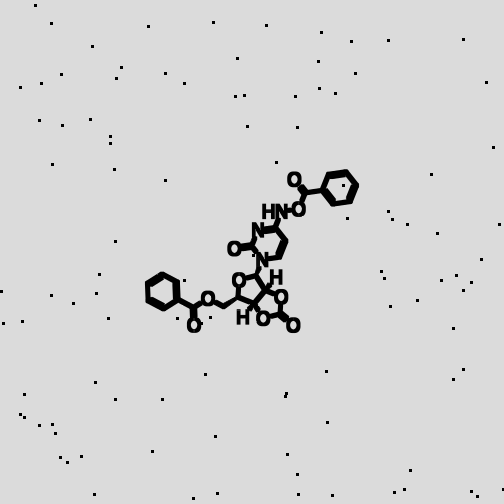 O=C1O[C@@H]2[C@H](O1)[C@@H](COC(=O)c1ccccc1)O[C@H]2n1ccc(NOC(=O)c2ccccc2)nc1=O